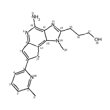 Cc1cccc(-c2cc3nc(N)c4nc(CCCO)n(C)c4c3s2)n1